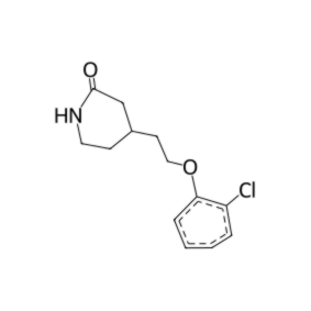 O=C1CC(CCOc2ccccc2Cl)CCN1